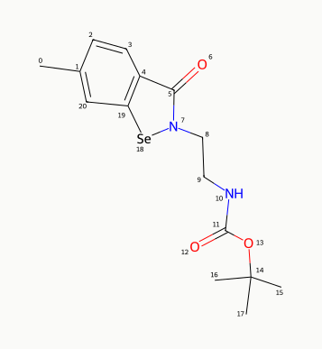 Cc1ccc2c(=O)n(CCNC(=O)OC(C)(C)C)[se]c2c1